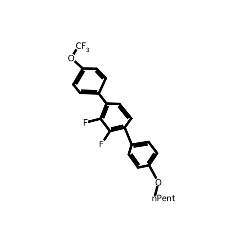 CCCCCOc1ccc(-c2ccc(-c3ccc(OC(F)(F)F)cc3)c(F)c2F)cc1